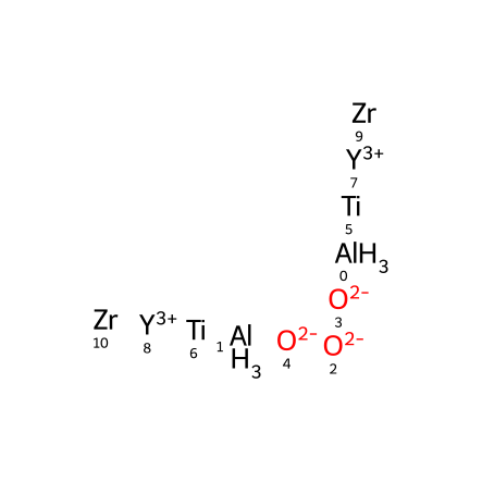 [AlH3].[AlH3].[O-2].[O-2].[O-2].[Ti].[Ti].[Y+3].[Y+3].[Zr].[Zr]